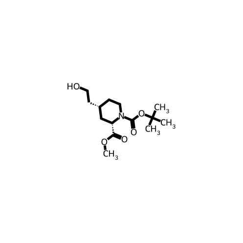 COC(=O)[C@@H]1C[C@H](CCO)CCN1C(=O)OC(C)(C)C